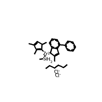 CCCCCC.C[SiH2][Zr+2]([C]1=C(C)C(C)=CC1C)[CH]1C(C)=Cc2c(-c3ccccc3)cccc21.[Cl-].[Cl-]